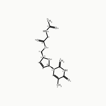 C=C1NC(=O)C(C)=CN1[C@H]1C=C[C@@H](COC(=O)CNC(C)=O)O1